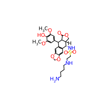 COc1cc(C2c3cc4c(cc3[C@@H](NS(=O)(=O)CCNCCCCN)[C@H]3COC(=O)C23)OCO4)cc(OC)c1O